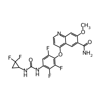 COc1cc2nccc(Oc3c(F)cc(NC(=O)NC4CC4(F)F)c(F)c3F)c2cc1C(N)=O